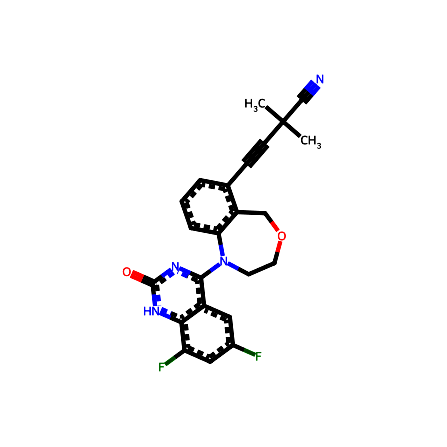 CC(C)(C#N)C#Cc1cccc2c1COCCN2c1nc(=O)[nH]c2c(F)cc(F)cc12